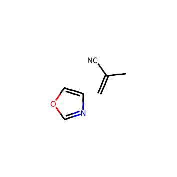 C=C(C)C#N.c1cocn1